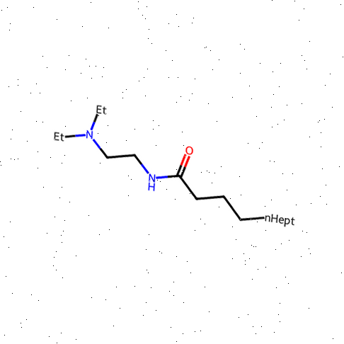 CCCCCCCCCCC(=O)NCCN(CC)CC